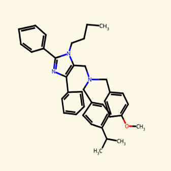 CCCCn1c(-c2ccccc2)nc(-c2ccccc2)c1CN(Cc1ccc(OC)cc1)Cc1ccc(C(C)C)cc1